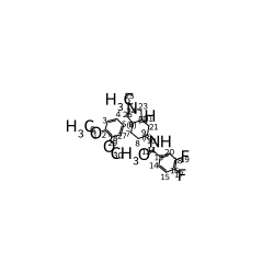 COc1ccc([C@@]23CC[C@@H](NC(=O)c4ccc(F)c(F)c4)C[C@@H]2CN(C)C3)cc1OC